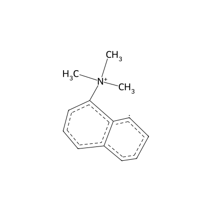 C[N+](C)(C)c1cccc2ccc[c]c12